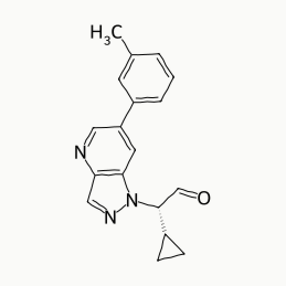 Cc1cccc(-c2cnc3cnn([C@H](C=O)C4CC4)c3c2)c1